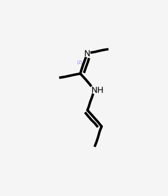 CC=CN/C(C)=N\C